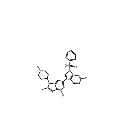 Cc1nc2c(F)cc(-c3cn(S(=O)(=O)c4ccccc4)c4nc(Cl)ccc34)cc2n1C1CCN(C)CC1